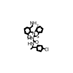 CC(NC(=O)NC1Sc2ccccc2N1c1c(Cl)cccc1CN)c1ccc(Cl)cc1